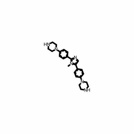 Cn1c(-c2ccc(N3CCNCC3)cc2)cnc1-c1ccc(N2CCNCC2)cc1